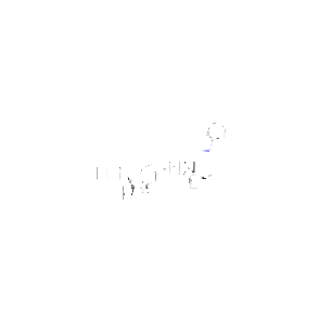 CCC(COc1ccc(C(N)=O)c(O)c1)NC(=O)/C=C/c1ccccc1